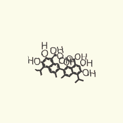 Cc1cc2c(C(C)C)c(O)c(O)c(C(=O)O)c2c(O)c1-c1c(C)cc2c(C(C)C)c(O)c(O)c(C(=O)O)c2c1O